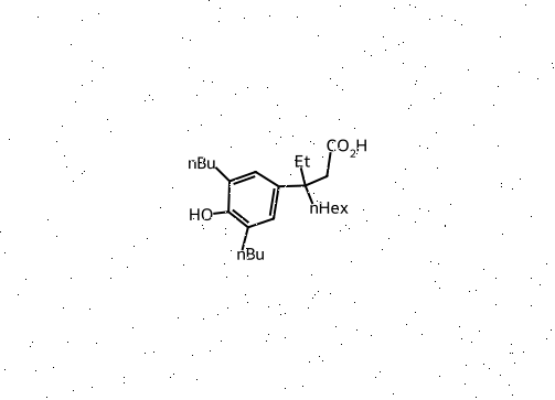 CCCCCCC(CC)(CC(=O)O)c1cc(CCCC)c(O)c(CCCC)c1